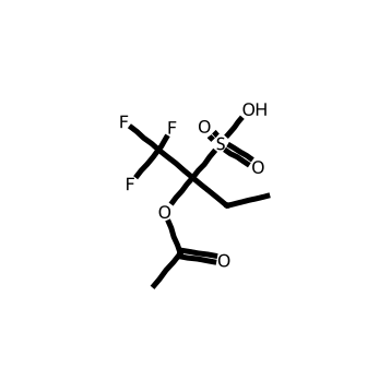 CCC(OC(C)=O)(C(F)(F)F)S(=O)(=O)O